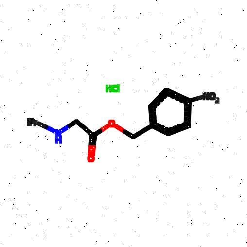 CC(C)NCC(=O)OCc1ccc([N+](=O)[O-])cc1.Cl